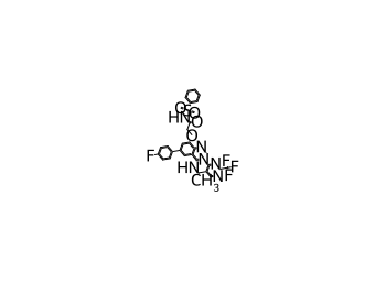 C[C@@H](Nc1ncnc2c(OCC(=O)NS(=O)(=O)c3ccccc3)cc(-c3ccc(F)cc3)cc12)c1cnc(C(F)(F)F)nc1